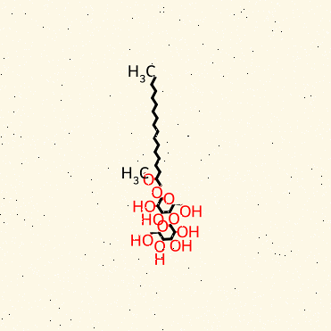 CCCCCCCCCCCCCCCCC(CO[C@H]1O[C@H](CO)[C@@H](O[C@@H]2O[C@H](CO)[C@H](O)[C@H](O)[C@H]2O)[C@H](O)[C@H]1O)OC